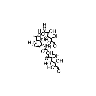 CC(=O)N[C@@H](C=O)[C@@H](O)[C@@H](N)[C@@H](C)O.O=C[C@H](O)[C@@H](O)[C@@H](O)[C@H](O)C(=O)O.O=C[C@H](O)[C@@H](O)[C@@H](O)[C@H](O)C(=O)O